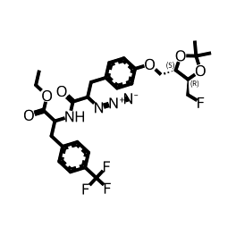 CCOC(=O)C(Cc1ccc(C(F)(F)F)cc1)NC(=O)C(Cc1ccc(OC[C@@H]2OC(C)(C)O[C@H]2CF)cc1)N=[N+]=[N-]